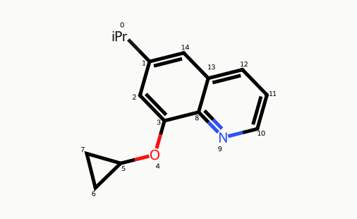 CC(C)c1cc(OC2CC2)c2ncccc2c1